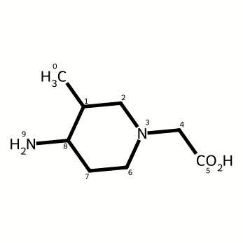 CC1CN(CC(=O)O)CCC1N